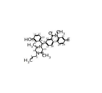 C=CCN1C[C@H](C)N(C(c2cccc(O)c2)c2cccc(C(=O)N(C)c3cccc(F)c3)c2)C[C@H]1C